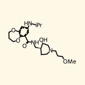 COCCCN1CC[C@@H](CNC(=O)c2cc(NC(C)C)cc3c2OCCCO3)[C@H](O)C1